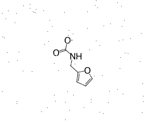 [O]C(=O)NCc1ccco1